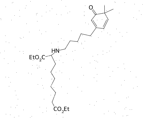 CCOC(=O)CCCCCCC(NCCCCCC1=CC(=O)C(C)(C)C=C1)C(=O)OCC